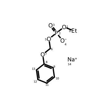 CCOP(=O)([O-])OCOc1ccccc1.[Na+]